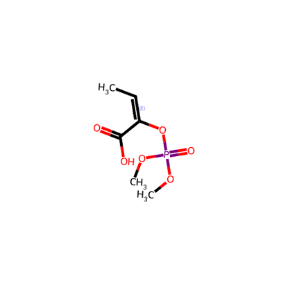 C/C=C(/OP(=O)(OC)OC)C(=O)O